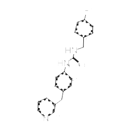 O=C(NCc1ccc(F)cc1)Nc1ccc(Cc2cccnc2)cc1